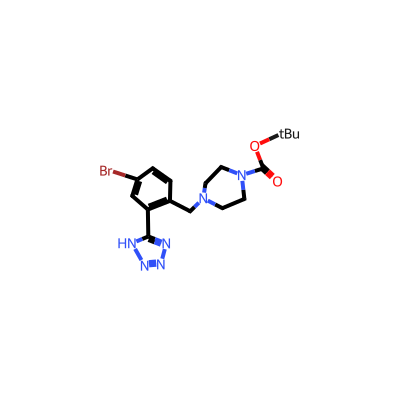 CC(C)(C)OC(=O)N1CCN(Cc2ccc(Br)cc2-c2nnn[nH]2)CC1